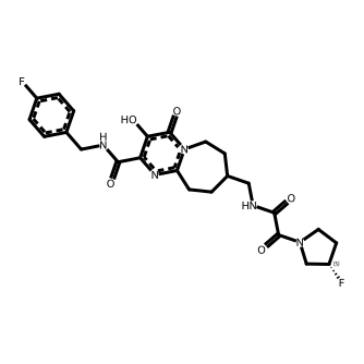 O=C(NCC1CCc2nc(C(=O)NCc3ccc(F)cc3)c(O)c(=O)n2CC1)C(=O)N1CC[C@H](F)C1